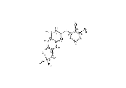 C[C@H](NC(=O)Cn1cncc(Br)c1=O)c1ccc(OC(F)(F)F)cc1